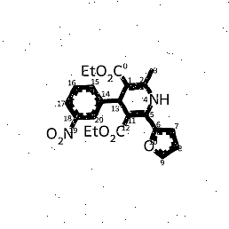 CCOC(=O)C1=C(C)NC(c2ccco2)=C(C(=O)OCC)C1c1cccc([N+](=O)[O-])c1